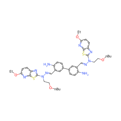 CCCCOCCN(/N=C/c1cc(-c2ccc(N)c(/C=N/N(CCOCCCC)c3nc4ccc(OCC)nc4s3)c2)ccc1N)c1nc2ccc(OCC)nc2s1